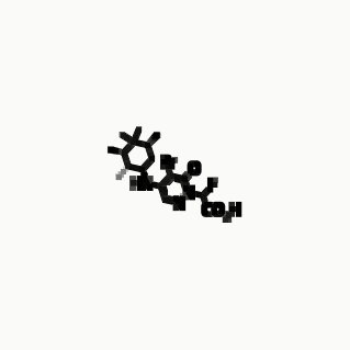 C[C@@H]1[C@@H](C)C(C)(C)[C@@H](C)C[C@H]1Nc1cnn(C(F)C(=O)O)c(=O)c1Br